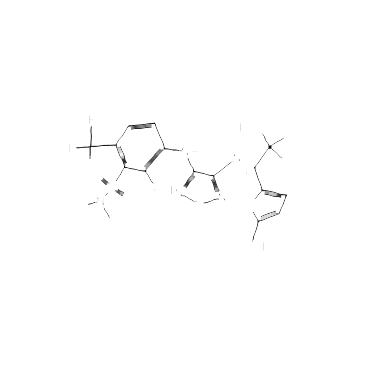 Cc1ccc([C@H](Nc2nsnc2Nc2ccc(C(F)(F)F)c(S(=O)(=O)N(C)C)c2O)C(C)(C)C)o1